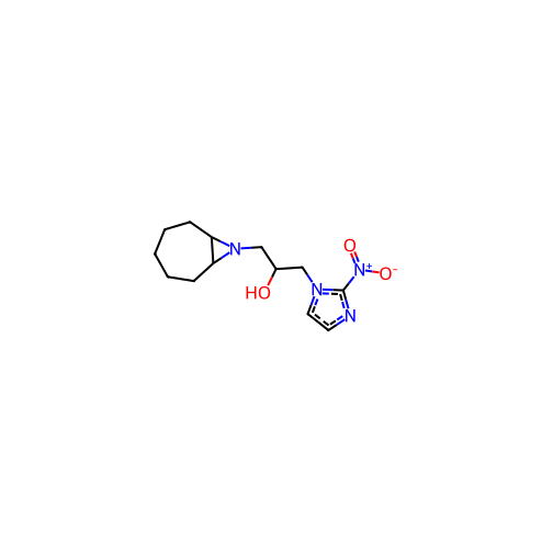 O=[N+]([O-])c1nccn1CC(O)CN1C2CCCCCC21